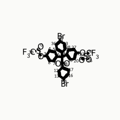 O=S(Oc1ccc2c(c1)OC1(c3ccc(Br)cc3)Oc3cc(OS(=O)(=O)C(F)(F)F)ccc3C21c1ccc(Br)cc1)C(F)(F)F